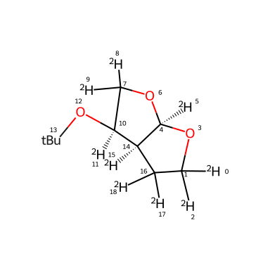 [2H]C1([2H])O[C@]2([2H])OC([2H])([2H])[C@]([2H])(OC(C)(C)C)[C@]2([2H])C1([2H])[2H]